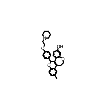 Cc1ccc2c(c1)C1=C(c3ccc(O)cc3OCC1)C(c1ccc(OCCN3CCCCC3)cc1)O2